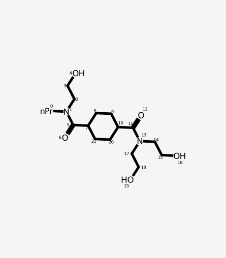 CCCN(CCO)C(=O)C1CCC(C(=O)N(CCO)CCO)CC1